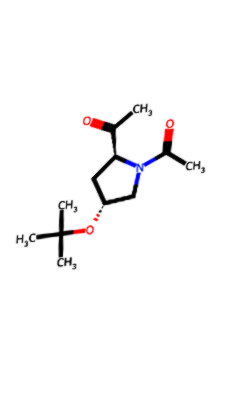 CC(=O)[C@@H]1C[C@@H](OC(C)(C)C)CN1C(C)=O